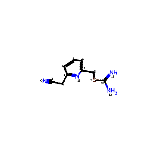 N#CCc1cccc(CSC(=N)N)n1